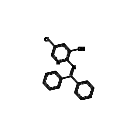 Oc1cc(Cl)cnc1N=C(c1ccccc1)c1ccccc1